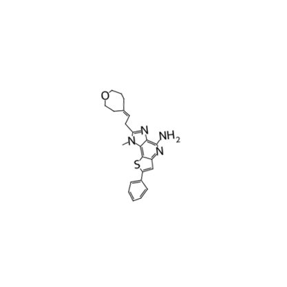 Cn1c(C/C=C2/CCCOCC2)nc2c(N)nc3cc(-c4ccccc4)sc3c21